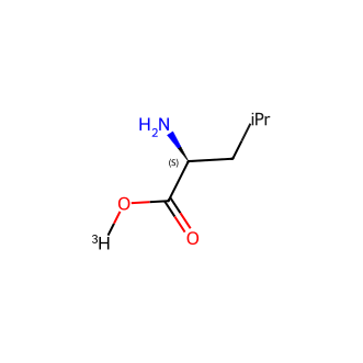 [3H]OC(=O)[C@@H](N)CC(C)C